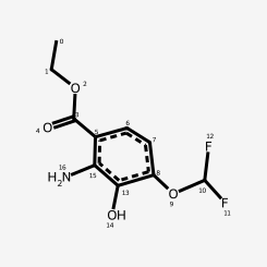 CCOC(=O)c1ccc(OC(F)F)c(O)c1N